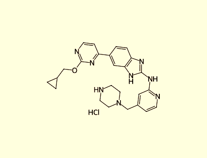 Cl.c1cc(CN2CCNCC2)cc(Nc2nc3ccc(-c4ccnc(OCC5CC5)n4)cc3[nH]2)n1